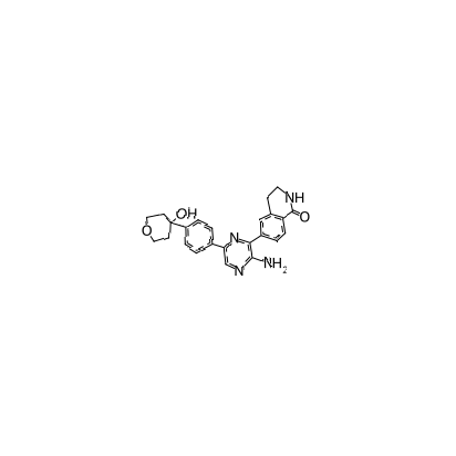 Nc1ncc(-c2ccc(C3(O)CCOCC3)cc2)nc1-c1ccc2c(c1)CCNC2=O